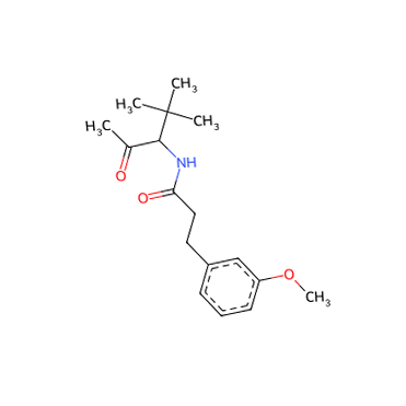 COc1cccc(CCC(=O)NC(C(C)=O)C(C)(C)C)c1